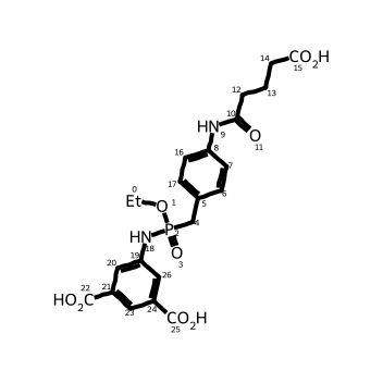 CCOP(=O)(Cc1ccc(NC(=O)CCCC(=O)O)cc1)Nc1cc(C(=O)O)cc(C(=O)O)c1